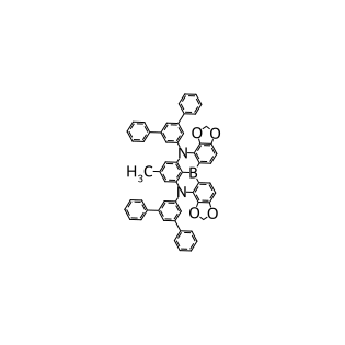 Cc1cc2c3c(c1)N(c1cc(-c4ccccc4)cc(-c4ccccc4)c1)c1c(ccc4c1OCO4)B3c1ccc3c(c1N2c1cc(-c2ccccc2)cc(-c2ccccc2)c1)OCO3